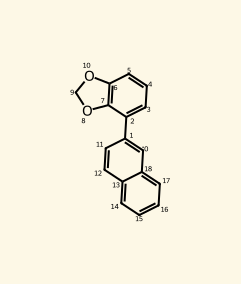 [c]1c(-c2cccc3c2OCO3)ccc2ccccc12